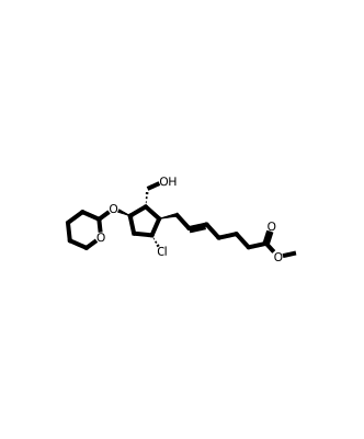 COC(=O)CCCC=CC[C@@H]1[C@@H](CO)[C@H](OC2CCCCO2)C[C@H]1Cl